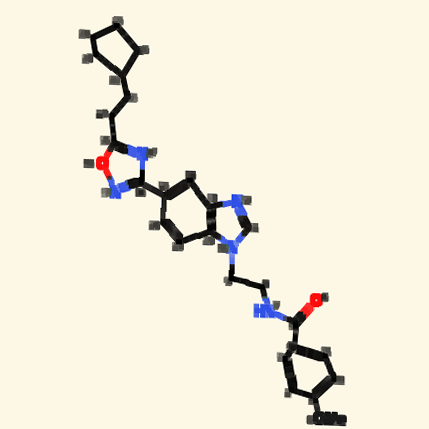 COc1ccc(C(=O)NCCn2cnc3cc(-c4noc(CCC5CCCC5)n4)ccc32)cc1